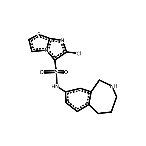 O=S(=O)(Nc1ccc2c(c1)CNCCC2)c1c(Cl)nc2sccn12